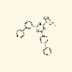 CC(C)c1nc(-c2ccc(-c3ccccc3)cc2)nc(-c2cccc(-c3ccccc3)c2)n1